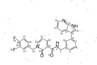 O=C(NCc1cccc(-c2c[nH]c3ncccc23)c1)c1cccn(Cc2ccc(F)c(F)c2)c1=O